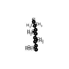 CCCCCCCCC1(CCCCCCCC)c2ccccc2-c2ccc(-c3ccc4c(c3)C(C)(C)c3cc(-c5ccc6c(c5)C(C)(C)c5cc(-c7cc(C)c(-c8ccc(Cl)cc8)c(C)c7)ccc5-6)ccc3-4)cc21